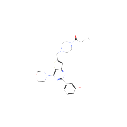 COCC(=O)N1CCN(Cc2cc3nc(-c4cccc(O)c4)nc(N4CCOCC4)c3s2)CC1